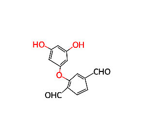 O=Cc1ccc(C=O)c(Oc2cc(O)cc(O)c2)c1